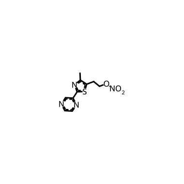 Cc1nc(-c2cnccn2)sc1CCO[N+](=O)[O-]